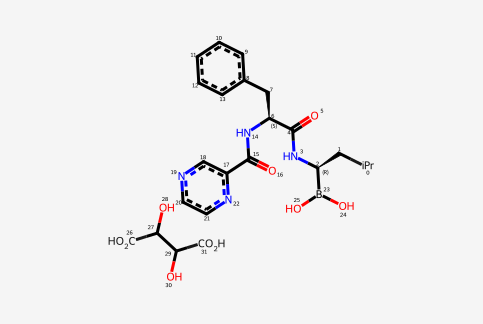 CC(C)C[C@H](NC(=O)[C@H](Cc1ccccc1)NC(=O)c1cnccn1)B(O)O.O=C(O)C(O)C(O)C(=O)O